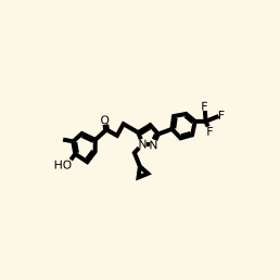 Cc1cc(C(=O)CCc2cc(-c3ccc(C(F)(F)F)cc3)nn2CC2CC2)ccc1O